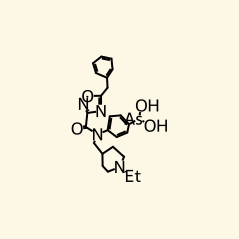 CCN1CCC(CN(C(=O)c2noc(Cc3ccccc3)n2)c2ccc([As](O)O)cc2)CC1